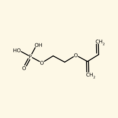 C=CC(=C)OCCOP(=O)(O)O